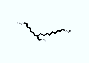 C=CC(CCCCC=CC(=O)O)CCCCCCCCCC(=O)O